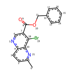 Cc1ccc2ncc(C(=O)OCc3ccccc3)c(Br)c2n1